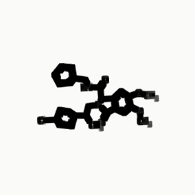 COc1cc2c(cc1OC)C(C(=O)NCc1ccccc1)N(CC(C)c1ccc(Cl)cc1)C2=O